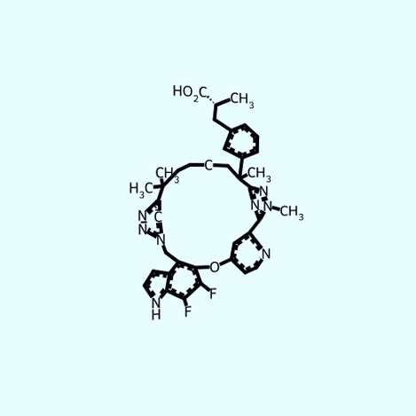 C[C@H](Cc1cccc(C2(C)CCCCC(C)(C)c3cn(nn3)Cc3c(c(F)c(F)c4[nH]ccc34)Oc3ccnc(c3)-c3nc2nn3C)c1)C(=O)O